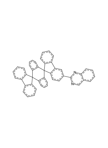 c1ccc2c(c1)-c1ccccc1C21c2ccccc2C2(c3ccccc3-c3cc(-c4ncc5ccccc5n4)ccc32)c2ccccc21